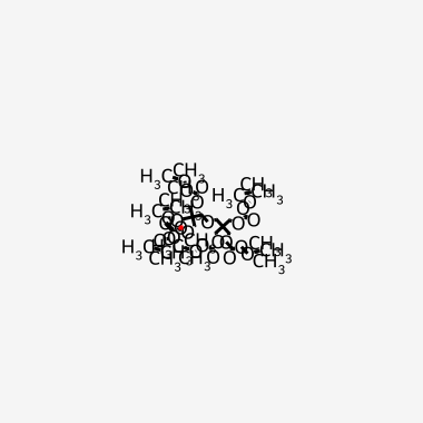 CC(C)(C)OOC(=O)OCC(COCC(COC(=O)OOC(C)(C)C)(COC(=O)OOC(C)(C)C)COC(=O)OOC(C)(C)C)(COC(=O)OOC(C)(C)C)COC(=O)OOC(C)(C)C